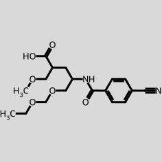 CCOCOCC(CC(COC)C(=O)O)NC(=O)c1ccc(C#N)cc1